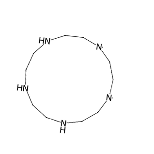 C1C[N]CCNCCNCCNCC[N]1